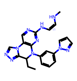 CCC1c2nncn2-c2cnc(N/C=C\NC)nc2N1c1cccc(-n2cccn2)c1